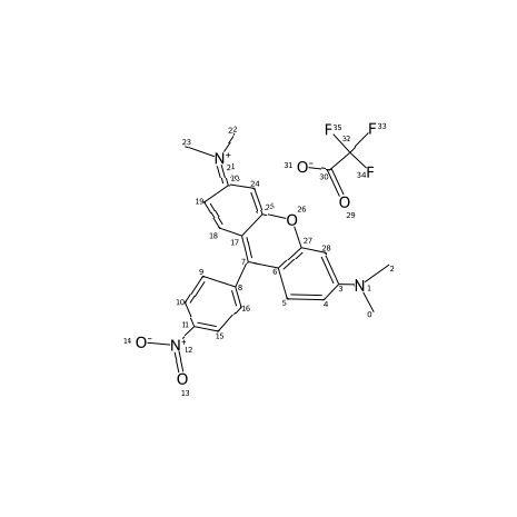 CN(C)c1ccc2c(-c3ccc([N+](=O)[O-])cc3)c3ccc(=[N+](C)C)cc-3oc2c1.O=C([O-])C(F)(F)F